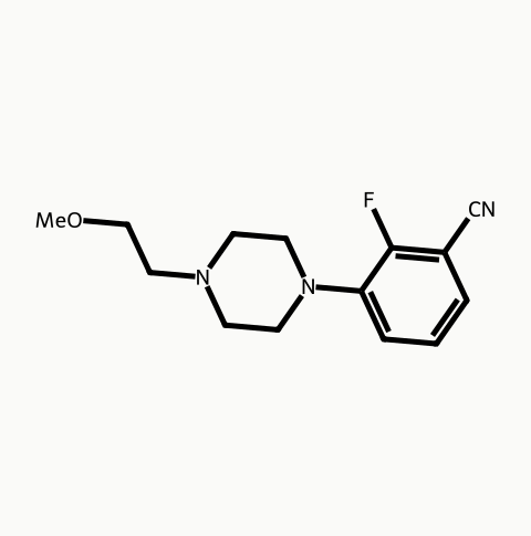 COCCN1CCN(c2cccc(C#N)c2F)CC1